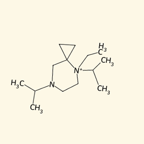 CC[N+]1(C(C)C)CCN(C(C)C)CC12CC2